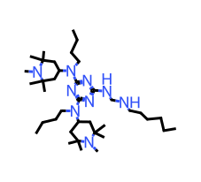 CCCCCCNCNc1nc(N(CCCC)C2CC(C)(C)N(C)C(C)(C)C2)nc(N(CCCC)C2CC(C)(C)N(C)C(C)(C)C2)n1